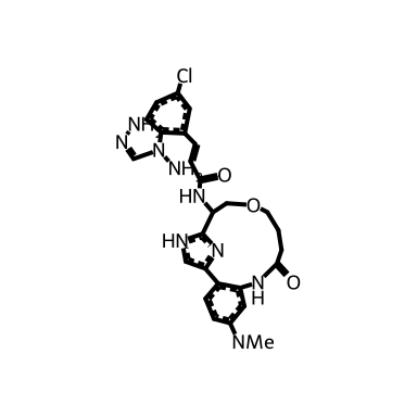 CNc1ccc2c(c1)NC(=O)CCCOCC(NC(=O)/C=C/c1cc(Cl)ccc1N(N)/C=N\N)c1nc-2c[nH]1